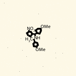 COc1ccc(C(N[C@H](C)c2ccc(OC)cc2)c2cccc([N+](=O)[O-])c2)cc1